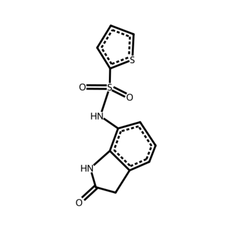 O=C1Cc2cccc(NS(=O)(=O)c3cccs3)c2N1